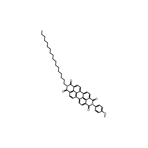 CCCCCCCCCCCCCCCCCCN1C(=O)c2ccc3c4ccc5c6c(ccc(c7ccc(c2c37)C1=O)c64)C(=O)N(c1ccc(OC)cc1)C5=O